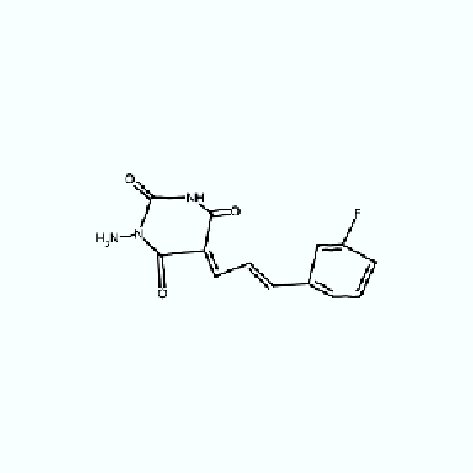 NN1C(=O)NC(=O)/C(=C\C=C\c2cccc(F)c2)C1=O